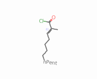 CCCCCCCCC/C=C(\C)C(=O)Cl